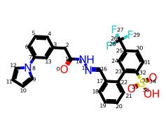 O=C(Cc1cccc(-n2cccc2)c1)NN=Cc1ccccc1-c1cc(C(F)(F)F)ccc1S(=O)(=O)O